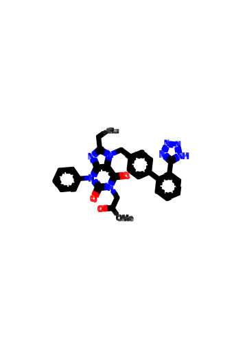 COC(=O)Cn1c(=O)c2c(nc(CC(C)(C)C)n2Cc2ccc(-c3ccccc3-c3nnn[nH]3)cc2)n(-c2ccccc2)c1=O